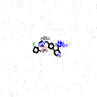 CCCCc1cn(-c2c(F)cccc2CCC)c(=O)n1Cc1ccc(-c2ccncc2-c2nnn[nH]2)cc1